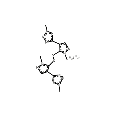 Cn1nnc(-c2cnn(C)c2SSc2c(-c3nnn(C)n3)cnn2C)n1.S.S